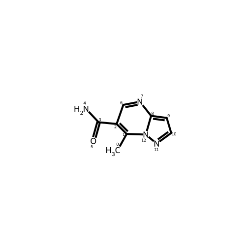 Cc1c(C(N)=O)cnc2ccnn12